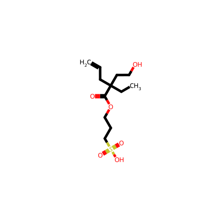 C=CCC(CC)(CCO)C(=O)OCCCS(=O)(=O)O